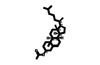 CC(=O)O[C@H]1CCC2(C)C(=CC[C@@H]3[C@@H]2CC[C@]2(C)[C@@H]([C@H](C)CCCC(C)C)CC[C@@H]32)C1